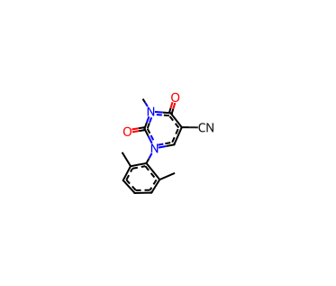 Cc1cccc(C)c1-n1cc(C#N)c(=O)n(C)c1=O